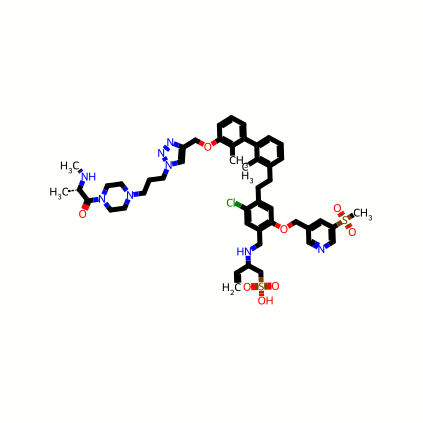 C=CC(CS(=O)(=O)O)NCc1cc(Cl)c(CCc2cccc(-c3cccc(OCc4cn(CCCN5CCN(C(=O)[C@H](C)NC)CC5)nn4)c3C)c2C)cc1OCc1cncc(S(C)(=O)=O)c1